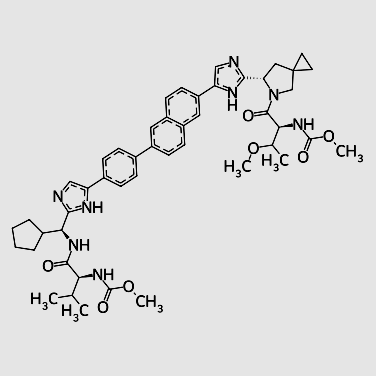 COC(=O)N[C@H](C(=O)N[C@H](c1ncc(-c2ccc(-c3ccc4cc(-c5cnc([C@@H]6CC7(CC7)CN6C(=O)[C@@H](NC(=O)OC)C(C)OC)[nH]5)ccc4c3)cc2)[nH]1)C1CCCC1)C(C)C